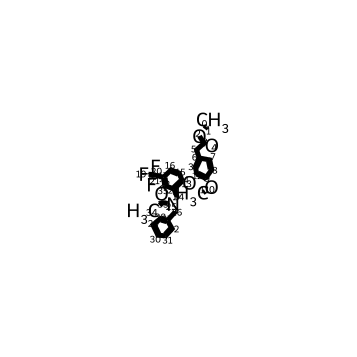 CCOC(=O)Cc1ccc(OC)c(Oc2ccc(C(F)(F)F)cc2CN(Cc2ccccc2)C(C)=O)c1